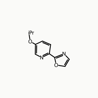 CC(C)Oc1ccc(-c2ncco2)nc1